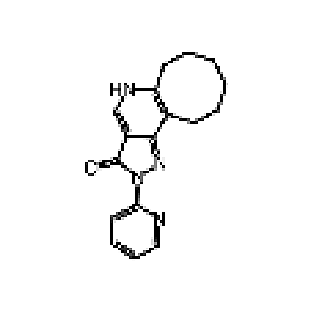 O=c1c2c[nH]c3c(c-2nn1-c1ccccn1)CCCCCC3